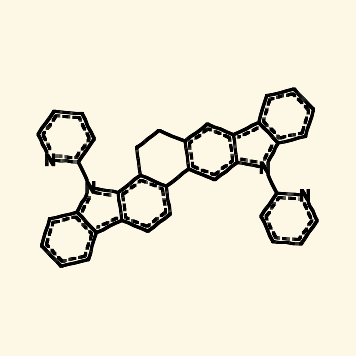 c1ccc(-n2c3ccccc3c3cc4c(cc32)-c2ccc3c5ccccc5n(-c5ccccn5)c3c2CC4)nc1